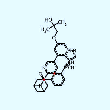 C#Cc1cccc(C(=O)N2C3CC2CN(c2ccc(-c4cc(OCC(C)(C)O)cn5ncc(C#N)c45)cn2)C3)c1